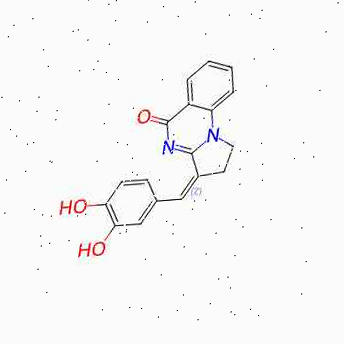 O=c1nc2n(c3ccccc13)CC/C2=C/c1ccc(O)c(O)c1